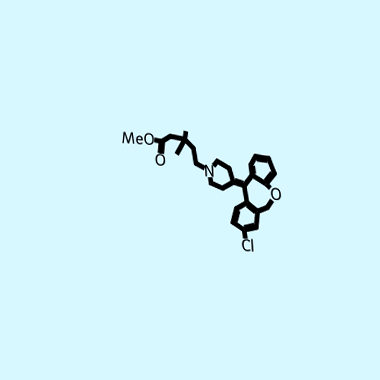 COC(=O)CC(C)(C)CCN1CCC(=C2c3ccc(Cl)cc3COc3ccccc32)CC1